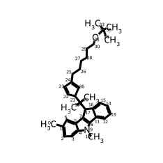 Cc1ccc2c(c1)c1c(n2C)-c2ccccc2C1C(C)(C)C1C=CC(CCCCCCOC(C)(C)C)=C1